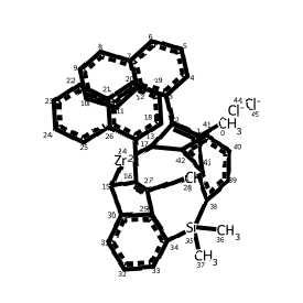 CC1=C(c2cccc3ccccc23)[CH]2[Zr+2][CH]3C(c4cccc5ccccc45)=C(C)c4c3cccc4[Si](C)(C)c3cccc2c31.[Cl-].[Cl-]